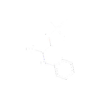 CS(=O)(=O)OCC(Nc1ccccc1)C(=O)O